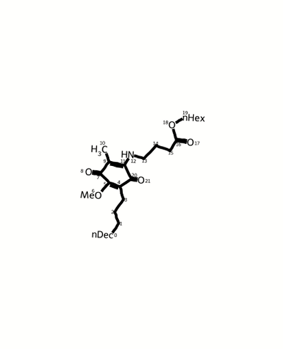 CCCCCCCCCCCCCC1=C(OC)C(=O)C(C)=C(NCCCC(=O)OCCCCCC)C1=O